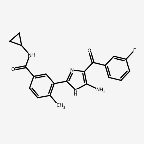 Cc1ccc(C(=O)NC2CC2)cc1-c1nc(C(=O)c2cccc(F)c2)c(N)[nH]1